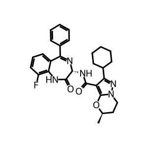 C[C@@H]1CCn2nc(C3CCCCC3)c(C(=O)N[C@H]3N=C(c4ccccc4)c4cccc(F)c4NC3=O)c2O1